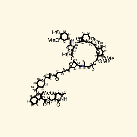 COc1cc(C)[nH]c(=O)c1CNC(=O)c1c(C)n([C@H](C)C2CCN(CCNC(=O)CCSCCC[C@@H]3/C=C(\C)C[C@H](C)C[C@H](OC)[C@H]4O[C@@](O)(C(=O)C(=O)N5CCCC[C@H]5C(=O)O[C@H](/C(C)=C/[C@@H]5CC[C@@H](O)[C@H](OC)C5)[C@H](C)[C@@H](O)CC3=O)[C@H](C)C[C@@H]4OC)CC2)c2ccccc12